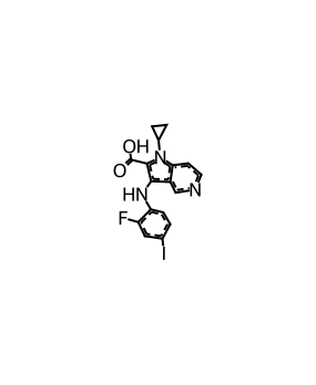 O=C(O)c1c(Nc2ccc(I)cc2F)c2cnccc2n1C1CC1